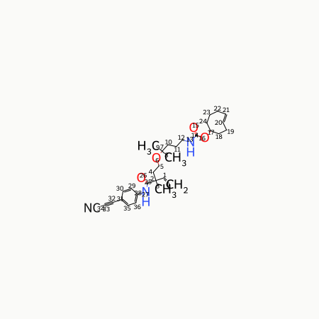 C=CC(C)(CCOC(C)(C)CCCNC(=O)O[C@@H]1CC/C=C/CCC1)C(=O)Nc1ccc(C#CC#N)cc1